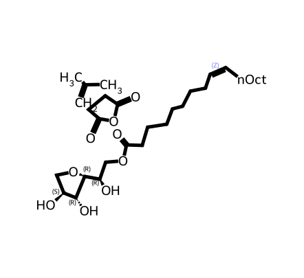 C=C(C)C.CCCCCCCC/C=C\CCCCCCCC(=O)OC[C@@H](O)[C@H]1OC[C@H](O)[C@H]1O.O=C1CCC(=O)O1